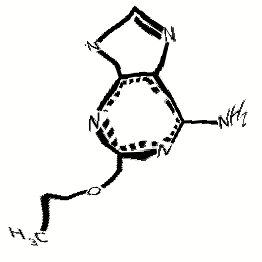 CCOc1nc(N)c2c(n1)[N]C=N2